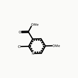 COC(=O)c1cc(OC)cnc1Cl